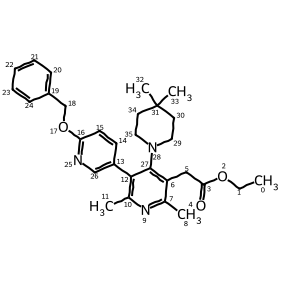 CCOC(=O)Cc1c(C)nc(C)c(-c2ccc(OCc3ccccc3)nc2)c1N1CCC(C)(C)CC1